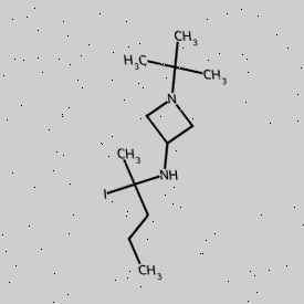 CCCC(C)(I)NC1CN(C(C)(C)C)C1